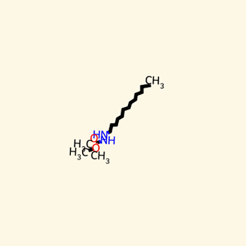 CCCCCCCCCCCCCCNNC(=O)OC(C)(C)C